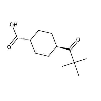 CC(C)(C)C(=O)[C@H]1CC[C@H](C(=O)O)CC1